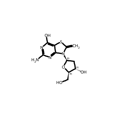 C=C1Sc2c(O)nc(N)nc2N1[C@H]1C[C@H](O)[C@@H](CO)O1